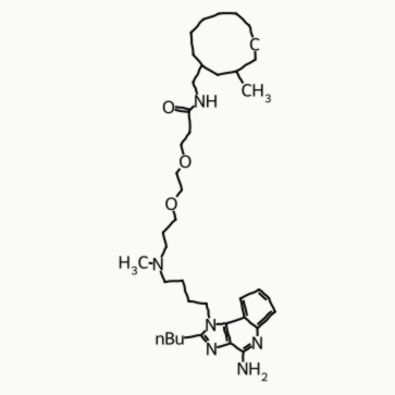 CCCCc1nc2c(N)nc3ccccc3c2n1CCCCN(C)CCCOCCOCCC(=O)NCC1CCCCCCCCC(C)C1